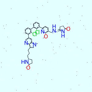 COc1nc(-c2cccc(-c3cccc(-c4cnc5c(CCCC6CCC(=O)N6)cn(C)c5c4)c3Cl)c2Cl)ccc1CNC[C@@H]1CCC(=O)N1